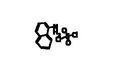 Nc1cccc2ccccc12.O=S(=O)(Cl)Cl